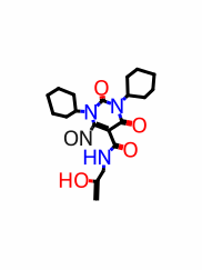 C=C(O)CNC(=O)c1c(N=O)n(C2CCCCC2)c(=O)n(C2CCCCC2)c1=O